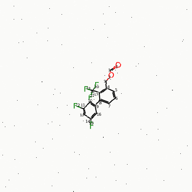 O=COCc1cccc(-c2cc(F)cc(F)c2)c1C(F)(F)F